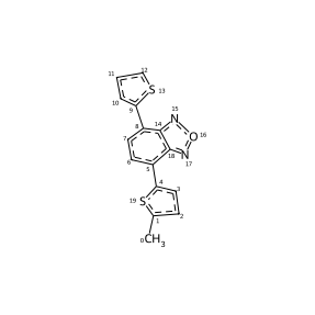 Cc1ccc(-c2ccc(-c3cccs3)c3nonc23)s1